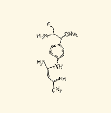 COC(c1ccc(N/C(N)=C\C(C)=N)cc1)C(N)CF